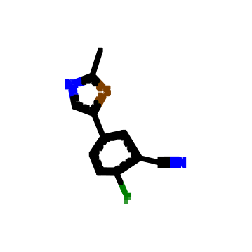 Cc1ncc(-c2ccc(F)c(C#N)c2)s1